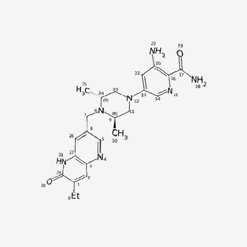 CCc1cc2ncc(CN3[C@H](C)CN(c4cnc(C(N)=O)c(N)c4)C[C@H]3C)cc2[nH]c1=O